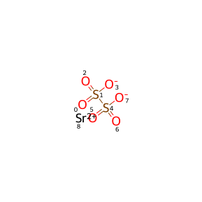 O=S(=O)([O-])S(=O)(=O)[O-].[Sr+2]